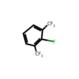 Fc1c(C(F)(F)F)cccc1C(F)(F)F